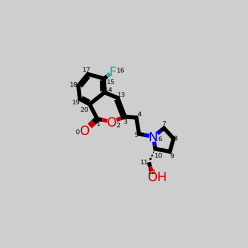 O=c1oc(CCN2CCC[C@@H]2CO)cc2c(F)cccc12